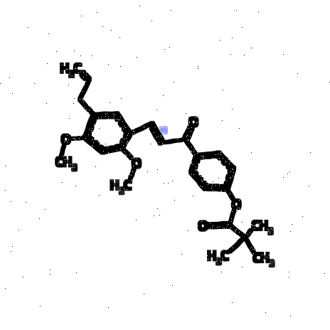 C=CCc1cc(/C=C/C(=O)c2ccc(OC(=O)C(C)(C)C)cc2)c(OC)cc1OC